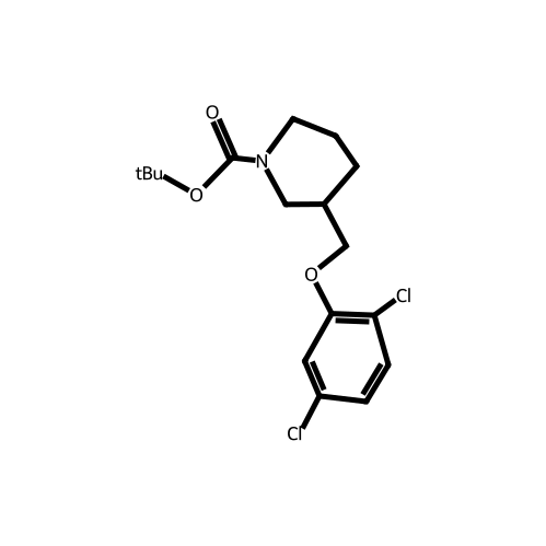 CC(C)(C)OC(=O)N1CCCC(COc2cc(Cl)ccc2Cl)C1